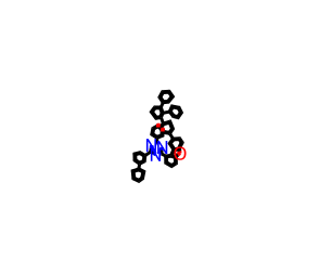 c1ccc(-c2cccc(-c3nc(-c4ccccc4)nc(-c4cccc5oc6ccc(-c7ccc(-c8cccc(-c9ccccc9)c8-c8ccccc8)cc7)cc6c45)n3)c2)cc1